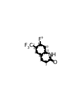 O=c1ccc2cc(C(F)(F)F)c(F)cc2[nH]1